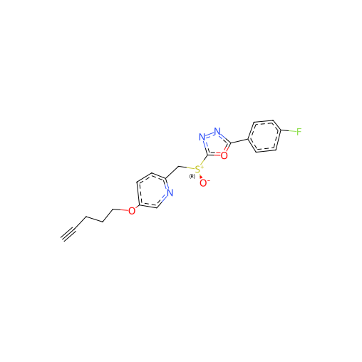 C#CCCCOc1ccc(C[S@+]([O-])c2nnc(-c3ccc(F)cc3)o2)nc1